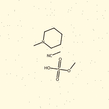 CC#N.CN1CCCCC1.COS(=O)(=O)O